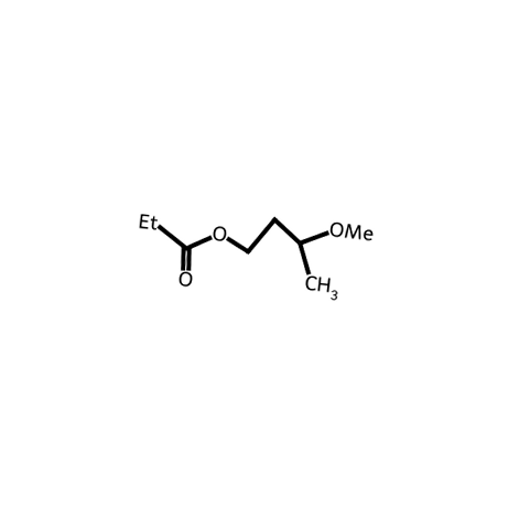 CCC(=O)OCCC(C)OC